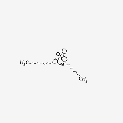 CCCCCCCCCCc1ccc(OC(=O)C2(c3ccc(CCCCCCCCC)cc3)CCCCC2)c(C#N)c1